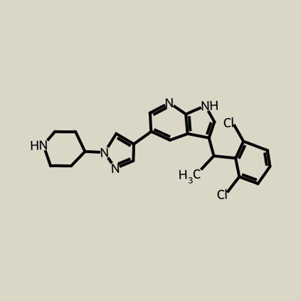 CC(c1c(Cl)cccc1Cl)c1c[nH]c2ncc(-c3cnn(C4CCNCC4)c3)cc12